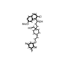 COc1ccc2ncc(Cl)c([C@@H](O)CCC3(CO)CCN(CCOc4cc(F)cc(F)c4F)CC3)c2c1